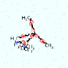 CCCOOCCCOCC(COCCCCOP(OCCC#N)N(C(C)C)C(C)C)(COCCCOOCCC)COCCCOOCCC